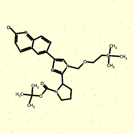 CC(C)(C)OC(=O)N1CCCC1c1nc(-c2ccc3nc(Cl)ccc3c2)cn1COCC[Si](C)(C)C